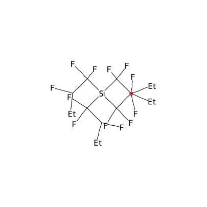 CCC(F)C(F)(F)[Si](C(F)(F)C(F)CC)(C(F)(F)C(F)CC)C(F)(F)C(F)CC